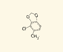 [CH2]c1ccc2c(c1Cl)OCO2